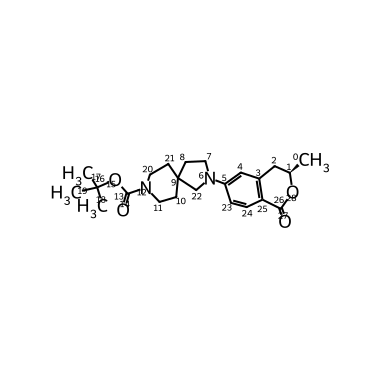 C[C@@H]1Cc2cc(N3CCC4(CCN(C(=O)OC(C)(C)C)CC4)C3)ccc2C(=O)O1